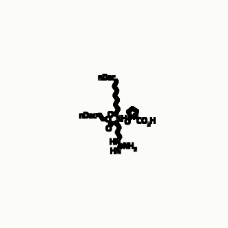 CCCCCCCCCCCCCCCCCC(=O)NC(CCCNC(=N)N)C(=O)OCCCCCCCCCCCC.O=C(O)N1CCCC1=O